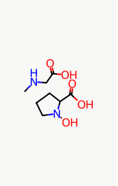 CNCC(=O)O.O=C(O)C1CCCN1O